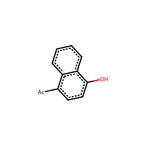 CC(=O)c1ccc(O)c2ccccc12